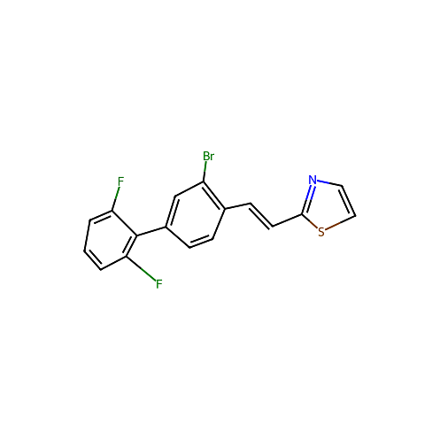 Fc1cccc(F)c1-c1ccc(C=Cc2nccs2)c(Br)c1